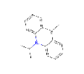 CC(C)N1c2ccccc2[SiH](C)c2ccccc21